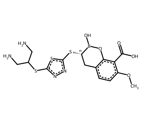 COc1ccc2c(c1C(=O)O)OB(O)[C@@H](Sc1nnc(SC(CN)CN)s1)C2